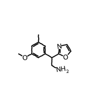 COc1cc(C)cc(C(CN)c2ncco2)c1